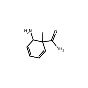 CC1(C(N)=O)C=CC=CC1N